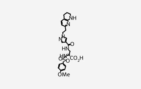 COc1ccc(S(=O)(=O)N[C@@H](CNC(=O)c2cnn(CCc3ccc4c(n3)NCCC4)c2)C(=O)O)cc1